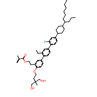 C=C(C)C(=O)OCCc1cc(-c2ccc(-c3ccc(C4CCC(C(CCC)CCCCCCCC)CC4)cc3F)cc2CC)ccc1OCCC(C)(CO)CO